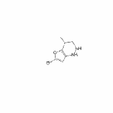 CC1CNNc2cc(Cl)oc21